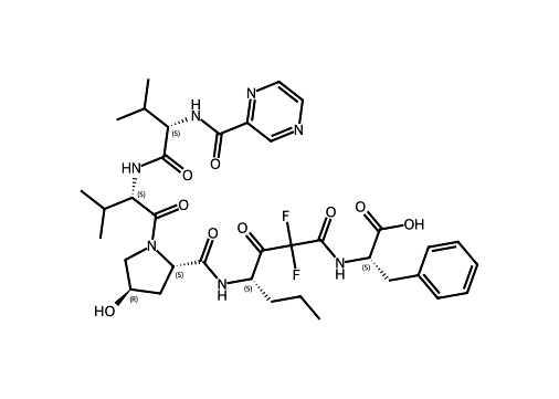 CCC[C@H](NC(=O)[C@@H]1C[C@@H](O)CN1C(=O)[C@@H](NC(=O)[C@@H](NC(=O)c1cnccn1)C(C)C)C(C)C)C(=O)C(F)(F)C(=O)N[C@@H](Cc1ccccc1)C(=O)O